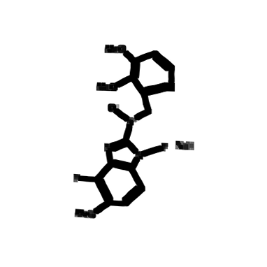 COc1ccnc(C[S+]([O-])c2nc3c(F)c(OC)ccc3n2F)c1OC.[NaH]